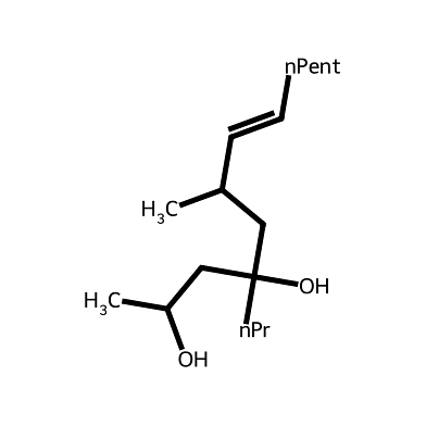 CCCCCC=CC(C)CC(O)(CCC)CC(C)O